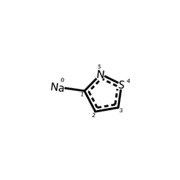 [Na][c]1ccsn1